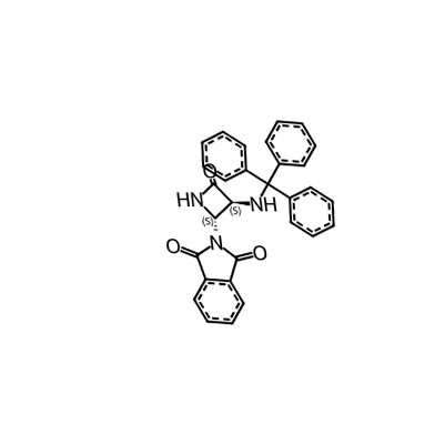 O=C1N[C@@H](N2C(=O)c3ccccc3C2=O)[C@@H]1NC(c1ccccc1)(c1ccccc1)c1ccccc1